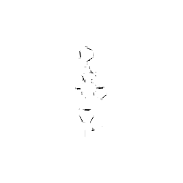 O=C(NCc1ccc(C(F)(F)F)cc1)c1cn(-c2ccccc2)nc1-c1cccs1